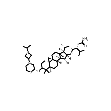 CC(C)[C@@H](OC(N)=O)[C@H]1C[C@@H](C)[C@H]2[C@H](O1)[C@H](O)[C@@]1(C)[C@@H]3CC[C@H]4C(C)(C)C(O[C@H]5CN(C6CN(C(C)C)C6)CCO5)CC[C@@]45C[C@@]35CC[C@]21C